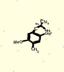 COc1cc(C[C@@H](C)N)c(O)cc1C